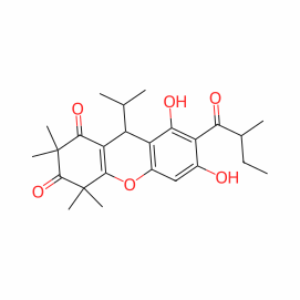 CCC(C)C(=O)c1c(O)cc2c(c1O)C(C(C)C)C1=C(O2)C(C)(C)C(=O)C(C)(C)C1=O